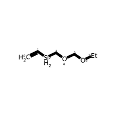 C=C[SiH2]COCOCC